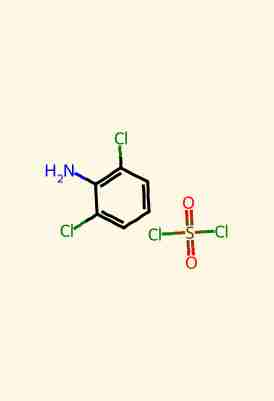 Nc1c(Cl)cccc1Cl.O=S(=O)(Cl)Cl